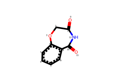 O=C1COc2ccccc2C(=O)N1